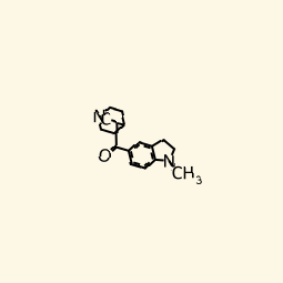 CN1CCc2cc(C(=O)C3CN4CCC3CC4)ccc21